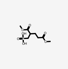 COC(=O)CCC(CP(=O)(O)O)C(=O)OC